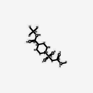 COC(=O)CS(=O)(=O)N1CCC(C(=O)OC(C)(C)C)CC1